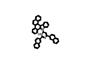 C1=C(c2ccc3ccccc3c2)N=C(c2ccc3ccccc3c2)NC1n1c2ccccc2c2c3c4ccccc4ccc3c3ccccc3c21